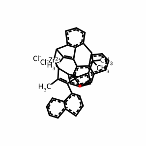 CC1=C(c2cccc3ccccc23)c2c3cccc2[CH]1[Zr+2][CH]1C(C)=C(c2cccc4ccccc24)c2c1cccc2C(C)(C)C3.[Cl-].[Cl-]